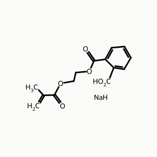 C=C(C)C(=O)OCCOC(=O)c1ccccc1C(=O)O.[NaH]